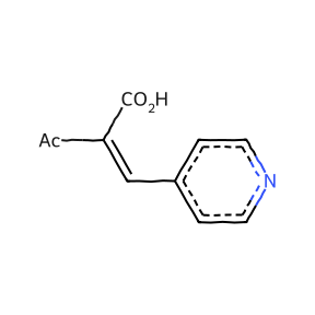 CC(=O)C(=Cc1ccncc1)C(=O)O